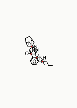 CCCCNC(=O)c1ccc(N2C3CCC2CC(NC(=O)c2cccc(OC)c2C)C3)nc1